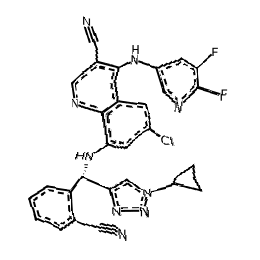 N#Cc1ccccc1[C@H](Nc1cc(Cl)cc2c(Nc3cnc(F)c(F)c3)c(C#N)cnc12)c1cn(C2CC2)nn1